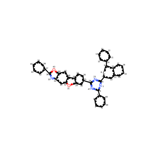 c1ccc(-c2nc(-c3cc(-c4ccccc4)c4ccccc4c3)nc(-c3ccc4c(c3)oc3cc5nc(-c6ccccc6)oc5cc34)n2)cc1